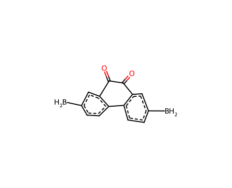 Bc1ccc2c(c1)C(=O)C(=O)c1cc(B)ccc1-2